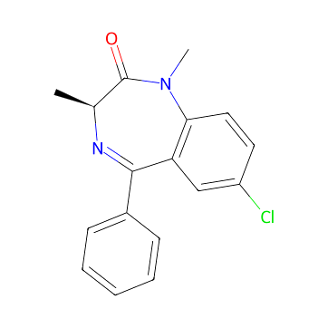 C[C@@H]1N=C(c2ccccc2)c2cc(Cl)ccc2N(C)C1=O